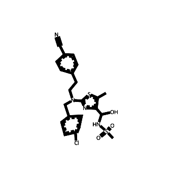 Cc1sc(N(CCc2ccc(C#N)cc2)Cc2ccc(Cl)cc2)nc1C(O)NS(C)(=O)=O